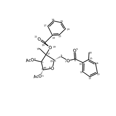 CC(=O)OC1[C@@H](OC(C)=O)O[C@@H](COC(=O)c2ccccc2C)C1(C)OC(=O)c1ccccc1